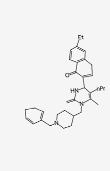 C=C1NC(C2=CCc3cc(CC)ccc3C2=O)C(CCC)=C(C)N1CC1CCN(CC2=CCCC=C2)CC1